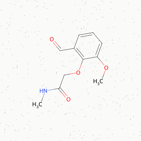 CNC(=O)COc1c(C=O)cccc1OC